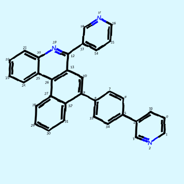 c1cncc(-c2ccc(-c3cc4c(-c5cccnc5)nc5ccccc5c4c4ccccc34)cc2)c1